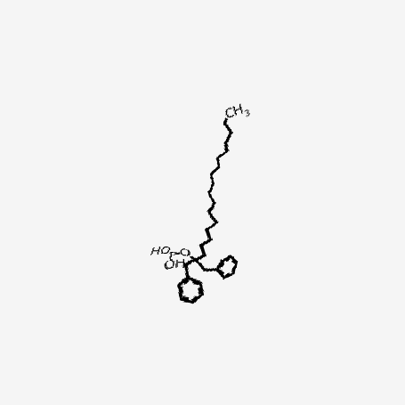 CCCCCCCCCCCCCCCCCC(Cc1ccccc1)(Cc1ccccc1)OP(O)O